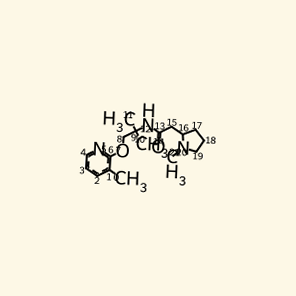 Cc1cccnc1OCC(C)(C)NC(=O)CC1CCCN1C